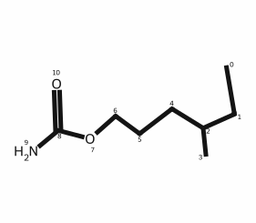 CCC(C)CCCOC(N)=O